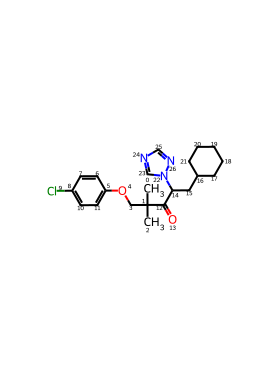 CC(C)(COc1ccc(Cl)cc1)C(=O)C(CC1CCCCC1)n1cncn1